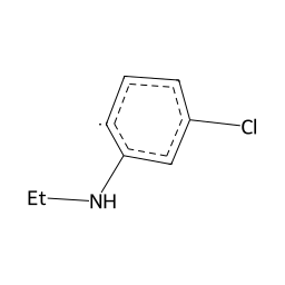 CCNc1[c]ccc(Cl)c1